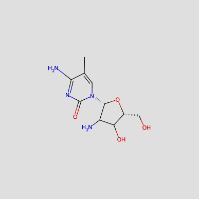 Cc1cn([C@@H]2O[C@H](CO)C(O)C2N)c(=O)nc1N